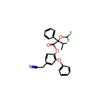 CC(C)C(OC(F)F)(C(=O)Oc1ccc([CH]C#N)cc1Oc1ccccc1)c1ccccc1